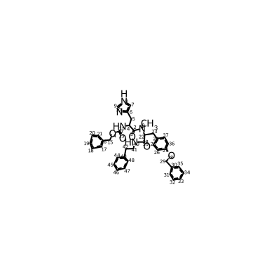 CN(C(=O)C(Cc1c[nH]cn1)NC(=O)OCc1ccccc1)C(Cc1ccc(OCc2ccccc2)cc1)C(=O)NCCc1ccccc1